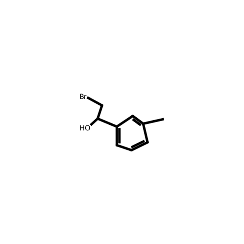 Cc1cccc(C(O)CBr)c1